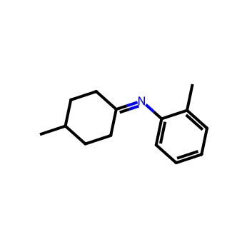 Cc1ccccc1N=C1CCC(C)CC1